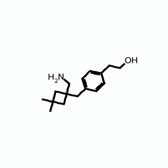 CC1(C)CC(CN)(Cc2ccc(CCO)cc2)C1